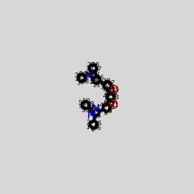 c1ccc(-c2cc(-c3ccc4oc5cc6oc7ccc(-c8ccc9c(c8)c8ccccc8n9-c8ccccc8)cc7c6cc5c4c3)nc(-c3ccccc3)n2)cc1